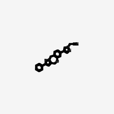 N#CCn1cc(-c2ccc3c(c2)OCc2cc(-c4ccccc4)nn2C3)cn1